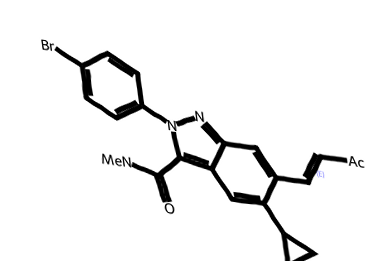 CNC(=O)c1c2cc(C3CC3)c(/C=C/C(C)=O)cc2nn1-c1ccc(Br)cc1